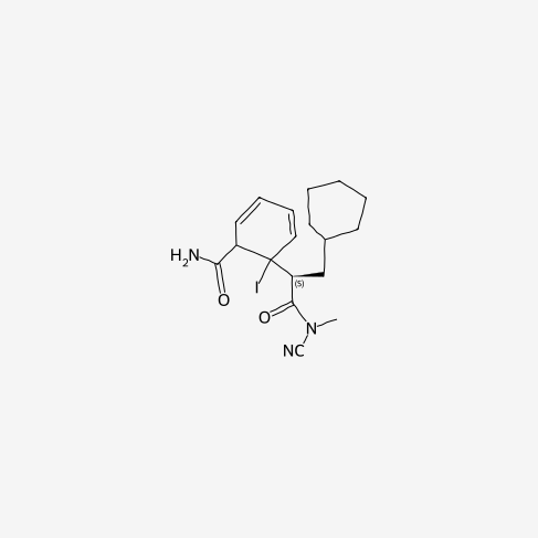 CN(C#N)C(=O)[C@H](CC1CCCCC1)C1(I)C=CC=CC1C(N)=O